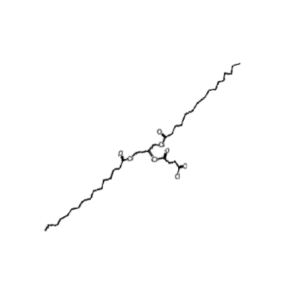 CCCCCCCCCCCCCCCC(=O)OCC(COC(=O)CCCCCCCCCCCCCCC)OC(=O)CCC(=O)Cl